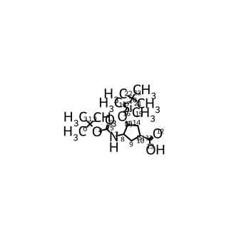 CC(C)(C)OC(=O)NC1C[C@H](C(=O)O)C[C@@H]1O[Si](C)(C)C(C)(C)C